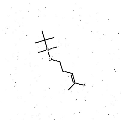 C/C(F)=C\CCO[Si](C)(C)C(C)(C)C